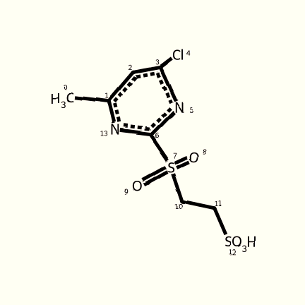 Cc1cc(Cl)nc(S(=O)(=O)CCS(=O)(=O)O)n1